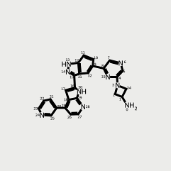 NC1CN(c2cncc(-c3ccc4[nH]nc(-c5cc6c(-c7cccnc7)ccnc6[nH]5)c4c3)n2)C1